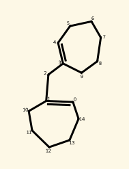 C1=C(CC2=CCCCCC2)CCCCC1